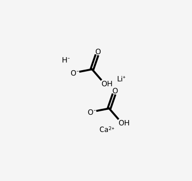 O=C([O-])O.O=C([O-])O.[Ca+2].[H-].[Li+]